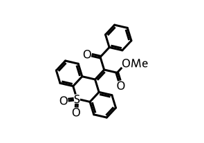 COC(=O)C(C(=O)c1ccccc1)=C1c2ccccc2S(=O)(=O)c2ccccc21